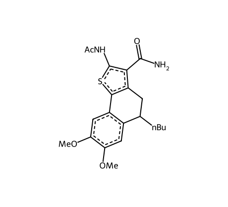 CCCCC1Cc2c(sc(NC(C)=O)c2C(N)=O)-c2cc(OC)c(OC)cc21